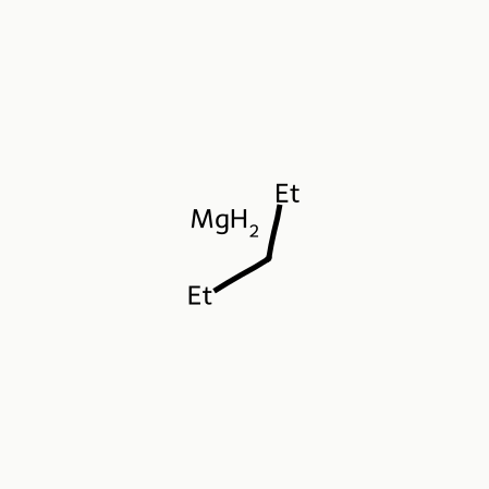 CCCCC.[MgH2]